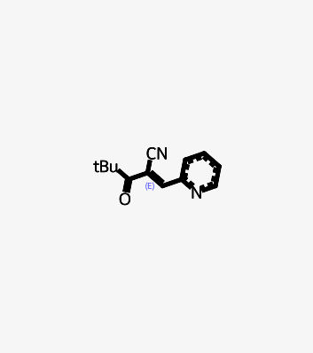 CC(C)(C)C(=O)/C(C#N)=C/c1ccccn1